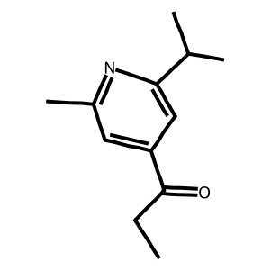 CCC(=O)c1cc(C)nc(C(C)C)c1